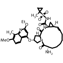 CCOc1cc(O[C@@H]2C[C@H]3C(=O)N[C@]4(C(=O)NS(=O)(=O)C5(C)CC5)C[C@H]4/C=C\CCCCC[C@H](N)C(=O)N3C2)c2ccc(OC)c(C)c2n1